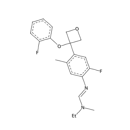 CCN(C)C=Nc1cc(C)c(C2(Oc3ccccc3F)COC2)cc1F